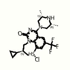 C[C@@H]1CN(c2nc(=O)n3c4c(cc(C(F)(F)F)cc24)[SH](Cl)C[C@@H](C2CC2)C3)C[C@H](C)N1